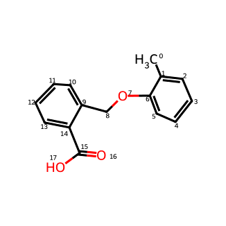 Cc1ccccc1OCc1ccccc1C(=O)O